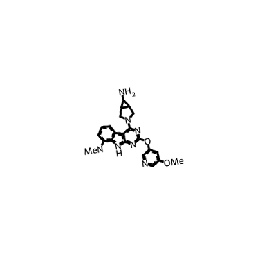 CNc1cccc2c1[nH]c1nc(Oc3cncc(OC)c3)nc(N3CC4C(N)C4C3)c12